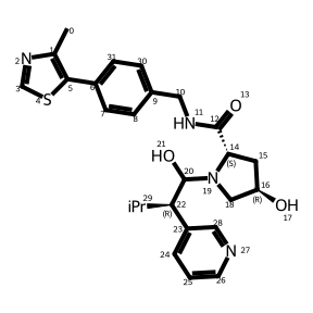 Cc1ncsc1-c1ccc(CNC(=O)[C@@H]2C[C@@H](O)CN2C(O)[C@@H](c2cccnc2)C(C)C)cc1